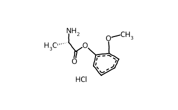 COc1ccccc1OC(=O)[C@H](C)N.Cl